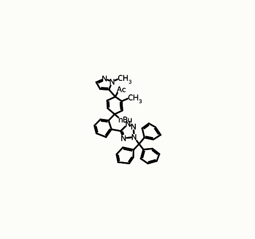 CCCCC1(c2ccccc2-c2nnn(C(c3ccccc3)(c3ccccc3)c3ccccc3)n2)C=CC(C(C)=O)(c2ccnn2C)C(C)=C1